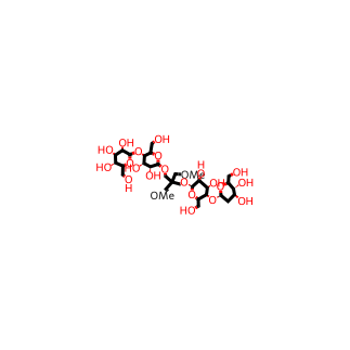 COCC(COC)(COC1OC(CO)[C@H](OC2OC(CO)[C@H](O)[C@@H](O)[C@H]2O)[C@@H](O)[C@H]1O)CO[C@H]1OC(CO)[C@H](O[C@H]2C[C@H](O)[C@@H](O)C(CO)O2)[C@@H](O)C1O